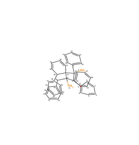 PC(Cc1ccccc1)(c1ccccc1)C1(C(P)(Cc2ccccc2)c2ccccc2)C=CC=CC1c1ccccc1